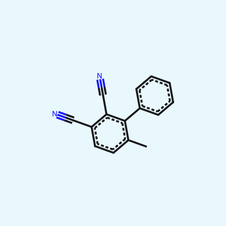 Cc1ccc(C#N)c(C#N)c1-c1ccccc1